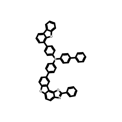 c1ccc(-c2ccc(N(c3ccc(-c4ccc5oc6ccc7nc(-c8ccccc8)oc7c6c5c4)cc3)c3ccc(-c4cccc5c4oc4ccccc45)cc3)cc2)cc1